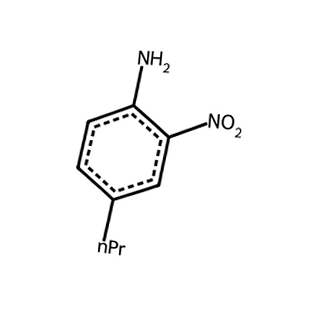 CCCc1ccc(N)c([N+](=O)[O-])c1